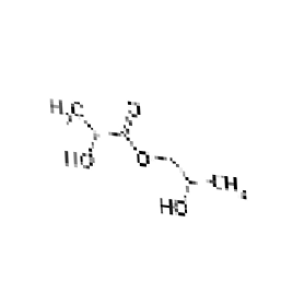 CC(O)COC(=O)C(C)O